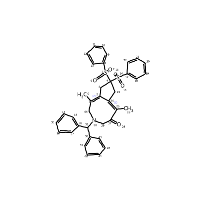 C/C1=C2\CC(S(=O)(=O)c3ccccc3)(S(=O)(=O)c3ccccc3)C\C2=C(/C)C(=O)CN(C(c2ccccc2)c2ccccc2)C1